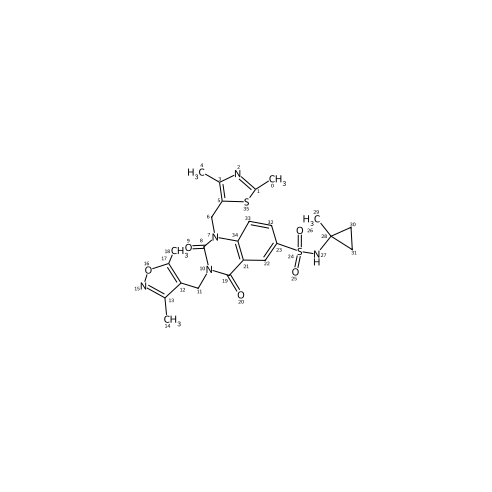 Cc1nc(C)c(Cn2c(=O)n(Cc3c(C)noc3C)c(=O)c3cc(S(=O)(=O)NC4(C)CC4)ccc32)s1